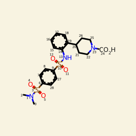 CN(C)S(=O)(=O)c1ccc(S(=O)(=O)Nc2ccccc2C2CCN(C(=O)O)CC2)cc1